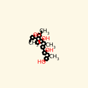 CCc1ccc(C(c2ccccc2)c2cc(CC)ccc2O)c(-c2cccc(CC(C)c3cccc(-c4cccc(CC(C)c5ccc(O)cc5)c4O)c3)c2O)c1